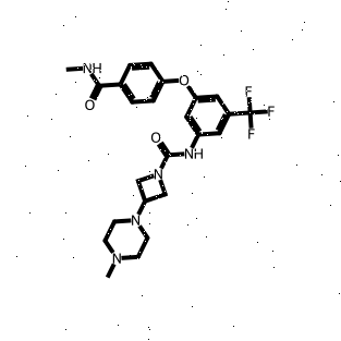 CNC(=O)c1ccc(Oc2cc(NC(=O)N3CC(N4CCN(C)CC4)C3)cc(C(F)(F)F)c2)cc1